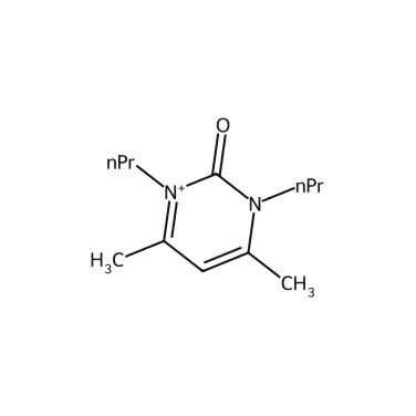 CCCn1c(C)cc(C)[n+](CCC)c1=O